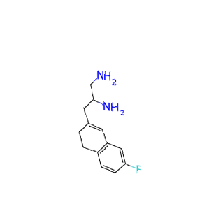 NCC(N)CC1=Cc2cc(F)ccc2CC1